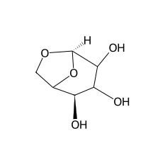 OC1C(O)[C@@H](O)C2CO[C@@H]1O2